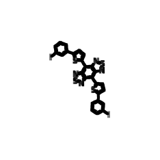 Ic1cccc(-c2ccc(-c3c4c(c(-c5ccc(-c6cccc(I)c6)s5)c5nsnc35)N=S=N4)s2)c1